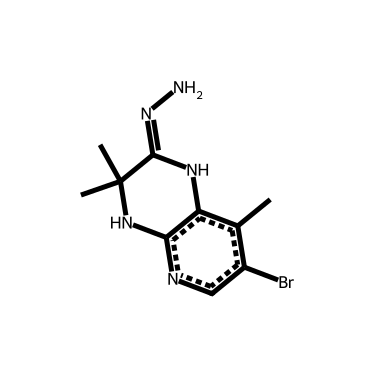 Cc1c(Br)cnc2c1NC(=NN)C(C)(C)N2